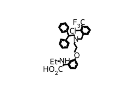 CCNC(C(=O)O)c1cccc(OCCCN(Cc2cccc(C(F)(F)F)c2Cl)CC(c2ccccc2)c2ccccc2)c1